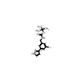 CC(C)(C)OC(=O)NCc1cc(F)cc(-c2cc[nH]n2)c1